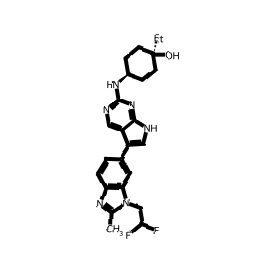 CC[C@]1(O)CC[C@@H](Nc2ncc3c(-c4ccc5nc(C)n(CC(F)F)c5c4)c[nH]c3n2)CC1